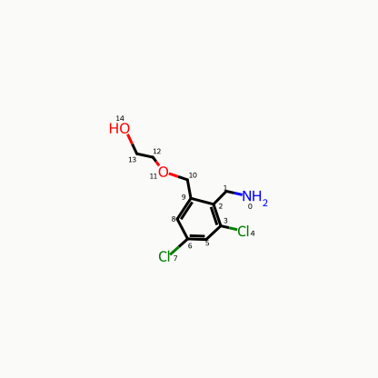 NCc1c(Cl)cc(Cl)cc1COCCO